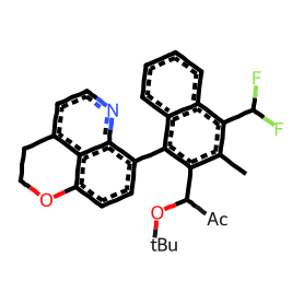 CC(=O)C(OC(C)(C)C)c1c(C)c(C(F)F)c2ccccc2c1-c1ccc2c3c(ccnc13)CCO2